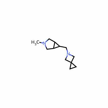 CN1CC2C(C1)C2CN1CC2(CC2)C1